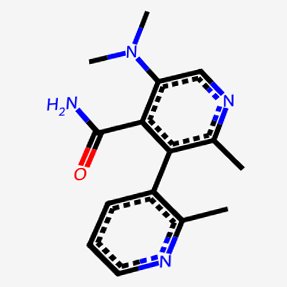 Cc1ncccc1-c1c(C)ncc(N(C)C)c1C(N)=O